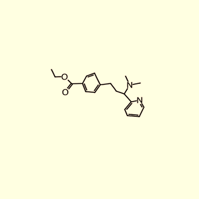 CCOC(=O)c1ccc(CCC(c2ccccn2)N(C)C)cc1